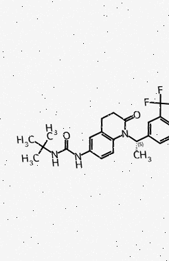 C[C@@H](c1cccc(C(F)(F)F)c1)N1C(=O)CCc2cc(NC(=O)NC(C)(C)C)ccc21